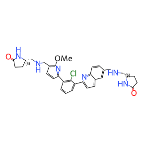 COc1nc(-c2cccc(-c3ccc4cc(CNC[C@@H]5CCC(=O)N5)ccc4n3)c2Cl)ccc1CNC[C@@H]1CCC(=O)N1